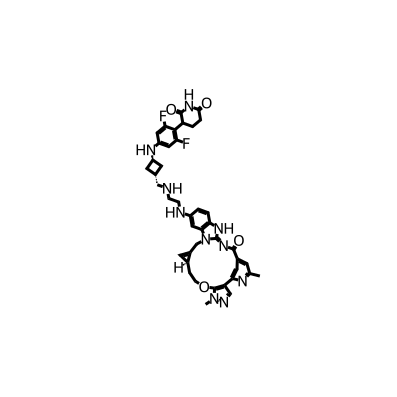 Cc1cc2cc(n1)-c1cnn(C)c1OCC[C@H]1C=C1CN1/C(=N/C2=O)Nc2ccc(NCCNC[C@H]3C[C@H](Nc4cc(F)c(C5CCC(=O)NC5=O)c(F)c4)C3)cc21